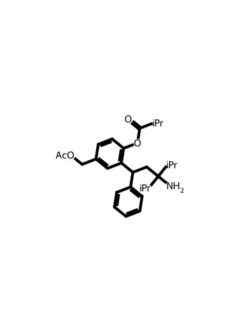 CC(=O)OCc1ccc(OC(=O)C(C)C)c(C(CC(N)(C(C)C)C(C)C)c2ccccc2)c1